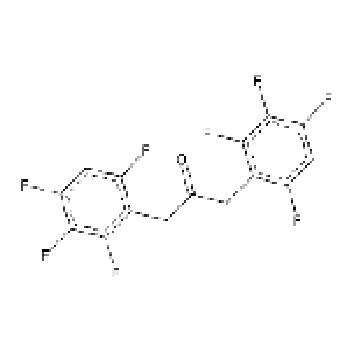 O=C(Cc1c(F)cc(F)c(F)c1F)Cc1c(F)cc(F)c(F)c1F